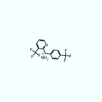 N[C@@H](c1ccc(C(F)(F)F)cc1)c1ncccc1C(F)(F)F